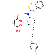 CN(C1=Nc2ccccc2CS1)C1CCN(CCCOc2ccc(F)cc2)CC1.O=C(O)/C=C\C(=O)O